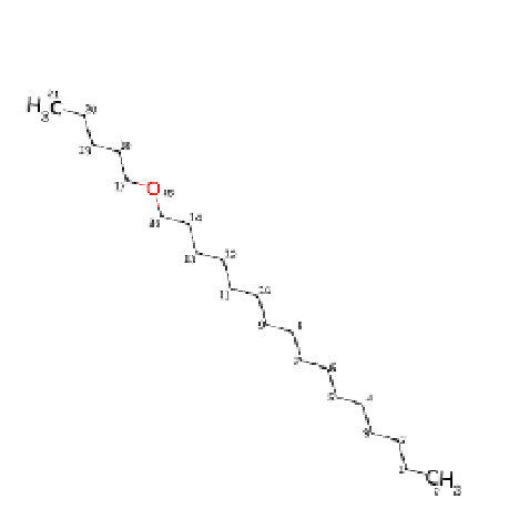 CCCCCCCCCCCCCCCCOCCCCC